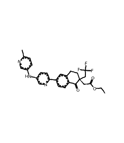 CCOC(=O)CC1(CC(F)(F)F)CCc2cc(-c3ccc(Nc4ccc(C)nc4)cn3)ccc2C1=O